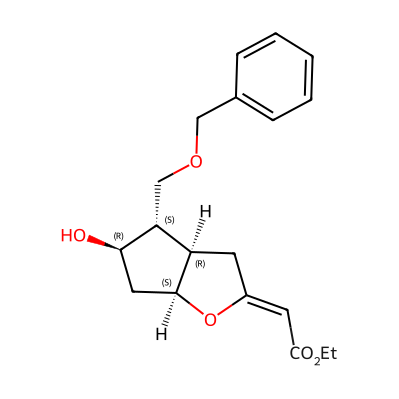 CCOC(=O)C=C1C[C@@H]2[C@@H](COCc3ccccc3)[C@H](O)C[C@@H]2O1